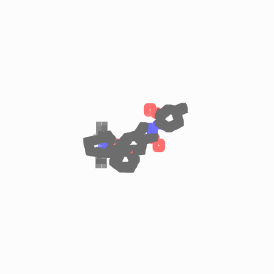 C=C1CCC(N2Cc3cc(C4C[C@H]5CC[C@@H](C4)N5Cc4ccccc4)ccc3C2=O)C(=O)C1